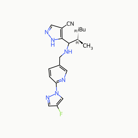 CC[C@@H](C)[C@@H](C)C(NCc1ccc(-n2cc(F)cn2)nc1)c1[nH]ncc1C#N